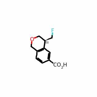 O=C(O)c1ccc2c(c1)[C@H](CF)COC2